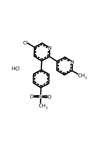 Cc1ccc(-c2ncc(Cl)cc2-c2ccc(S(C)(=O)=O)cc2)cn1.Cl